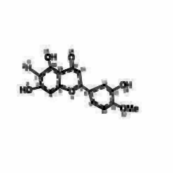 [2H]c1c(O)cc2oc(-c3ccc(OC)c(O)c3)cc(=O)c2c1O